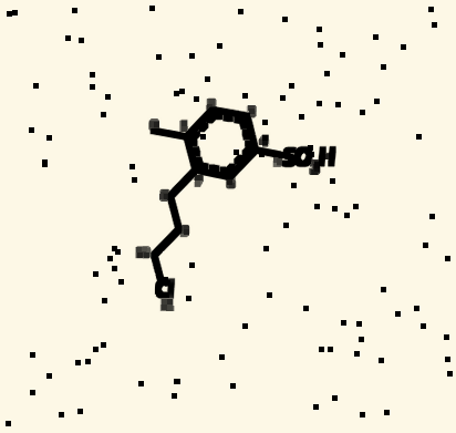 Cc1ccc(S(=O)(=O)O)cc1CCCCl